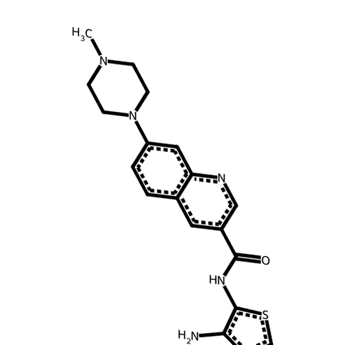 CN1CCN(c2ccc3cc(C(=O)Nc4sccc4N)cnc3c2)CC1